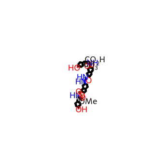 COC(=O)[C@H](Cc1ccc(O)cc1)NS(=O)(=O)c1ccc2ccc(NC(=O)Nc3ccc4ccc(S(=O)(=O)N[C@@](C)(Cc5ccc(O)cc5)C(=O)O)cc4c3)cc2c1